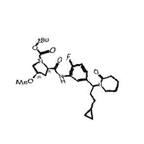 CO[C@@H]1C[C@H](C(=O)Nc2cc(C(CCC3CC3)N3CCCCC3=O)ccc2F)N(C(=O)OC(C)(C)C)C1